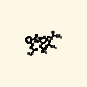 CC(=O)OCC1(OC(C)=O)CC(OC(C)=O)C(NC(=O)c2ccccc2OOC(C)=O)NO1